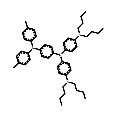 CCCCN(CCCC)c1ccc(N(c2ccc(N(CCCC)CCCC)cc2)c2ccc(N(c3ccc(C)cc3)c3ccc(C)cc3)cc2)cc1